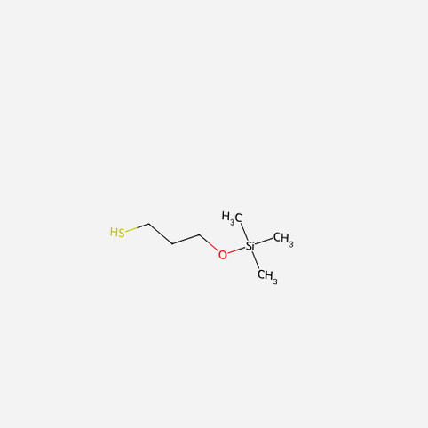 C[Si](C)(C)OCCCS